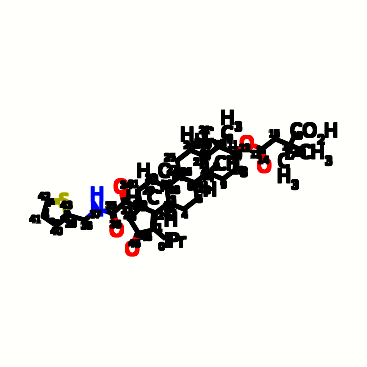 CC(C)C1=C2[C@H]3CC[C@@H]4[C@@]5(C)CC[C@H](OC(=O)CC(C)(C)C(=O)O)C(C)(C)[C@H]5CC[C@@]4(C)[C@]3(C)CC[C@@]2(C(=O)C(=O)NCc2cccs2)CC1=O